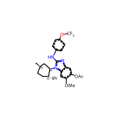 COc1cc2c(cc1OC(C)=O)nc(Nc1ccc(OC(F)(F)F)cc1)n2[C@@H]1C[C@H](C)CC[C@H]1C(C)C